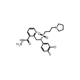 NNC(=O)c1cccnc1CN(c1ccc(F)c(Cl)c1)S(=O)(=O)CCCN1CCCC1